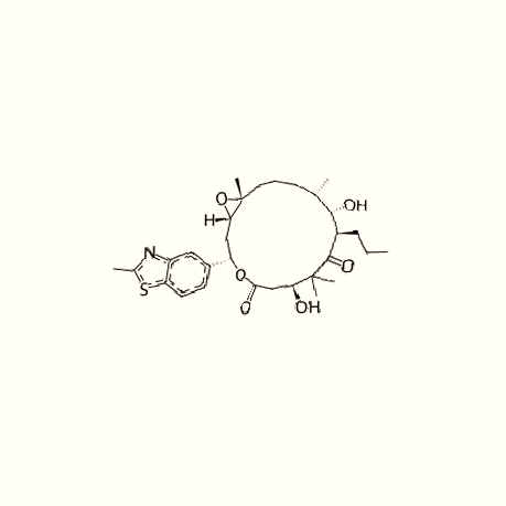 CCC[C@H]1C(=O)C(C)(C)[C@@H](O)CC(=O)O[C@H](c2ccc3sc(C)nc3c2)C[C@@H]2O[C@]2(C)CCC[C@H](C)[C@@H]1O